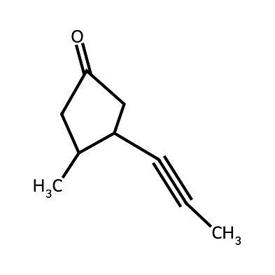 CC#CC1CC(=O)CC1C